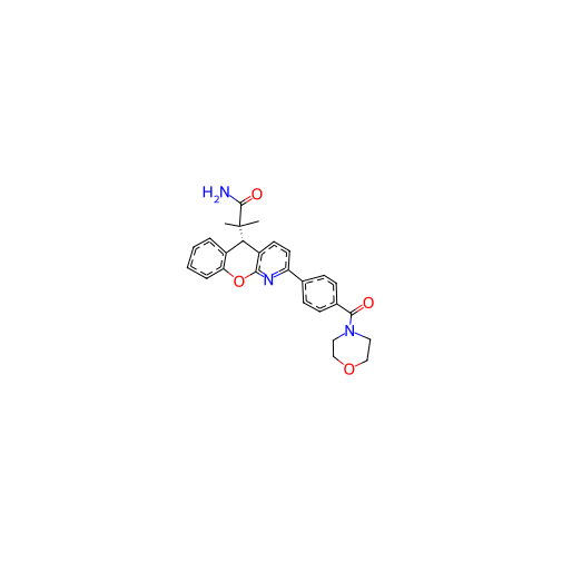 CC(C)(C(N)=O)[C@H]1c2ccccc2Oc2nc(-c3ccc(C(=O)N4CCOCC4)cc3)ccc21